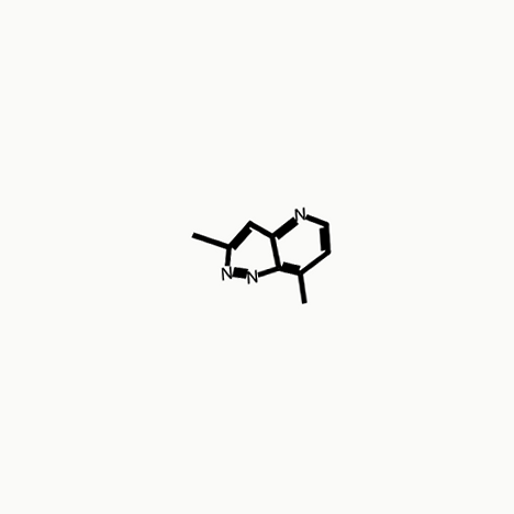 Cc1cc2nccc(C)c2nn1